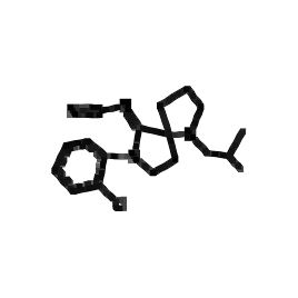 CC(C)CN1CCCC12CCN(c1ccccc1Cl)C2=NC#N